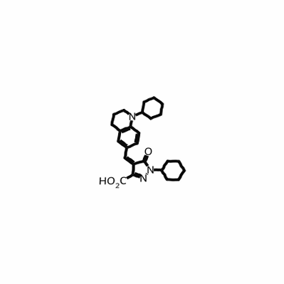 O=C(O)C1=NN(C2CCCCC2)C(=O)/C1=C\c1ccc2c(c1)CCCN2C1CCCCC1